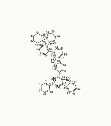 c1ccc(-c2nc(-c3ccc4c(c3)oc3c(-c5cccc6c5-c5ccccc5C65CCCCC5)cccc34)c3oc4ccccc4c3n2)cc1